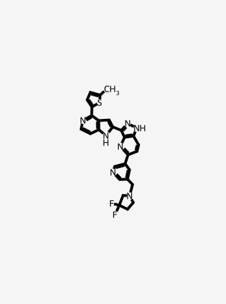 Cc1ccc(-c2nccc3[nH]c(-c4n[nH]c5ccc(-c6cncc(CN7CCC(F)(F)C7)c6)nc45)cc23)s1